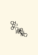 CCOC(=O)C1CCN(C(=O)Nc2nc3ccccc3s2)CC1